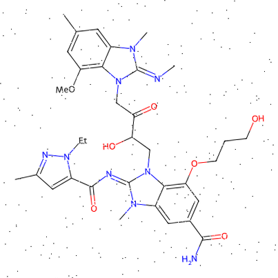 CCn1nc(C)cc1C(=O)/N=c1\n(C)c2cc(C(N)=O)cc(OCCCO)c2n1CC(O)C(=O)Cn1/c(=N/C)n(C)c2cc(C)cc(OC)c21